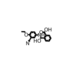 CCOc1ccc(NC(O)c2ccccc2C(=O)O)cc1C#N